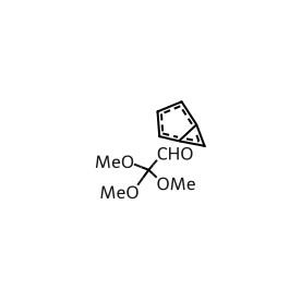 COC(C=O)(OC)OC.c1cc2cc-2c1